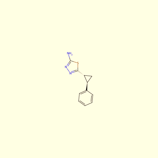 Nc1nnc([C@@H]2C[C@H]2c2ccccc2)s1